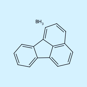 B.c1ccc2c(c1)-c1cccc3cccc-2c13